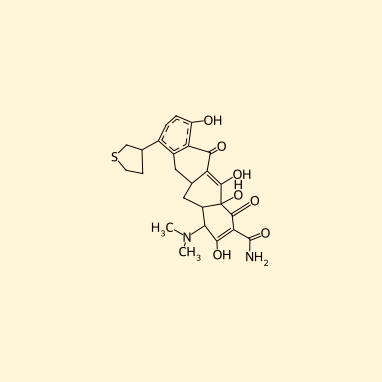 CN(C)C1C(O)=C(C(N)=O)C(=O)C2(O)C(O)=C3C(=O)c4c(O)ccc(C5CCSC5)c4CC3CC12